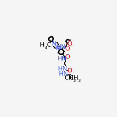 CCC(C)NC(=O)NCCCNC(=O)c1ccc(N2CCN(c3ccccc3C)CC2)c(NC(=O)c2ccco2)c1